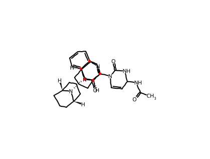 CC(=O)NC1C=CN(c2nc3ccccc3n([C@H]3C[C@H]4CCC[C@@H](C3)N4[C@H]3C[C@@H]4CCC[C@@H](C4)C3)c2=O)C(=O)N1